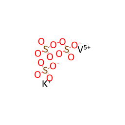 O=S(=O)([O-])[O-].O=S(=O)([O-])[O-].O=S(=O)([O-])[O-].[K+].[V+5]